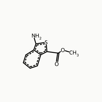 COC(=O)c1sc(N)c2ccccc12